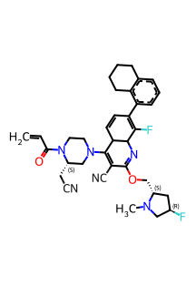 C=CC(=O)N1CCN(C2=C(C#N)C(OC[C@@H]3C[C@@H](F)CN3C)=NC3C(F)=C(c4cccc5c4CCCC5)C=CC23)C[C@@H]1CC#N